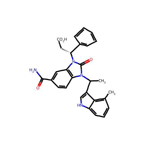 Cc1cccc2[nH]cc(C(C)n3c(=O)n([C@H](CC(=O)O)c4ccccc4)c4cc(C(N)=O)ccc43)c12